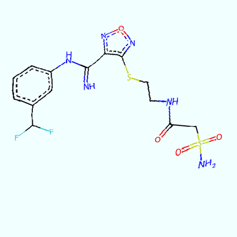 N=C(Nc1cccc(C(F)F)c1)c1nonc1SCCNC(=O)CS(N)(=O)=O